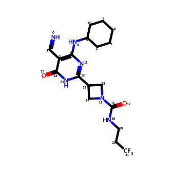 N=Cc1c(NC2CCCCC2)nc(C2CN(C(=O)NCCC(F)(F)F)C2)[nH]c1=O